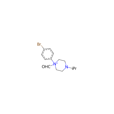 CC(C)N1CC[N+](C=O)(c2ccc(Br)cc2)CC1